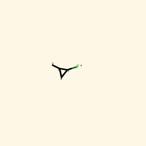 CC1CC1F